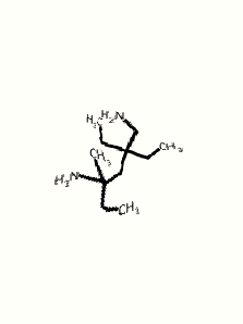 CCC(C)(N)CC(CC)(CC)CN